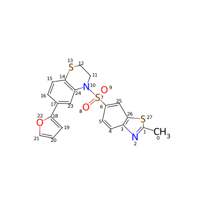 Cc1nc2ccc(S(=O)(=O)N3CCSc4ccc(-c5ccco5)cc43)cc2s1